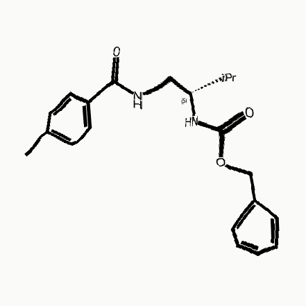 Cc1ccc(C(=O)NC[C@@H](NC(=O)OCc2ccccc2)C(C)C)cc1